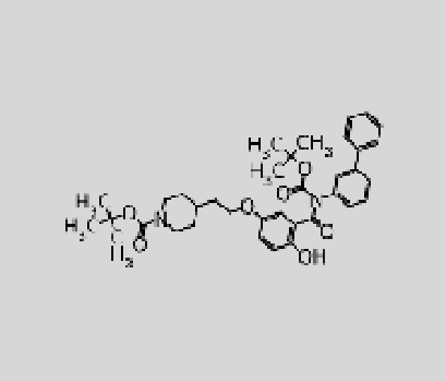 CC(C)(C)OC(=O)N1CCC(CCOc2ccc(O)c(C(=O)N(C(=O)OC(C)(C)C)c3cccc(-c4ccccc4)c3)c2)CC1